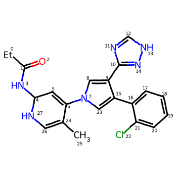 CCC(=O)NC1C=C(n2cc(-c3nc[nH]n3)c(-c3ccccc3Cl)c2)C(C)=CN1